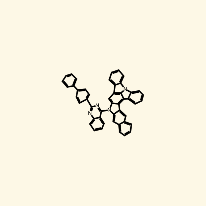 c1ccc(-c2ccc(-c3nc(-n4c5cc6ccccc6cc5c5c6c7ccccc7n7c8ccccc8c(cc54)c67)c4ccccc4n3)cc2)cc1